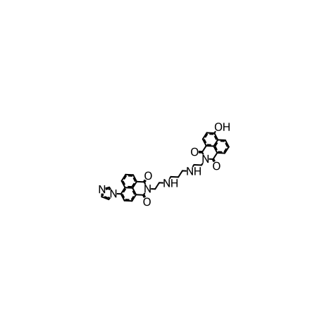 O=C1c2cccc3c(O)ccc(c23)C(=O)N1CCNCCCNCCN1C(=O)c2cccc3c(-n4ccnc4)ccc(c23)C1=O